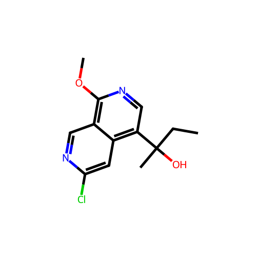 CCC(C)(O)c1cnc(OC)c2cnc(Cl)cc12